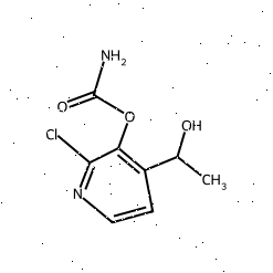 CC(O)c1ccnc(Cl)c1OC(N)=O